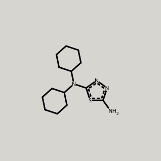 Nc1nnc(N(C2CCCCC2)C2CCCCC2)s1